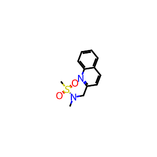 CN(Cc1ccc2ccccc2n1)S(C)(=O)=O